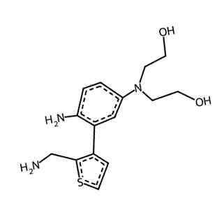 NCc1sccc1-c1cc(N(CCO)CCO)ccc1N